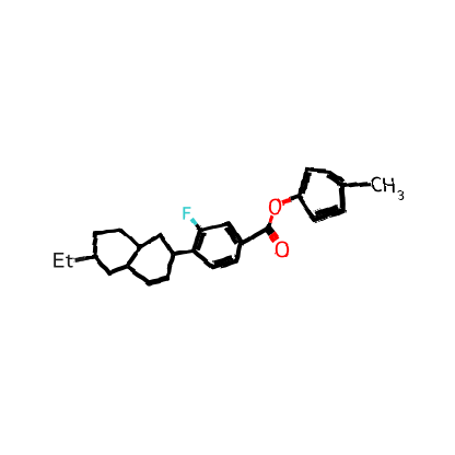 CCC1CCC2CC(c3ccc(C(=O)Oc4ccc(C)cc4)cc3F)CCC2C1